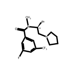 CC(C)[C@@H](CN1CCCC1)N(C)C(=O)c1cc(F)cc(C(F)(F)F)c1